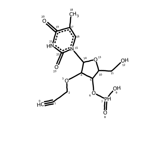 C#CCOC1C(O[PH](=O)O)C(CO)OC1n1cc(C)c(=O)[nH]c1=O